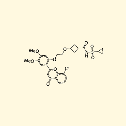 COc1cc(OCCO[C@H]2C[C@@H](C(=O)NS(=O)(=O)C3CC3)C2)c(-c2cc(=O)c3cccc(Cl)c3o2)cc1OC